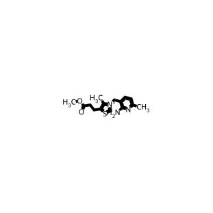 COC(=O)CCc1sc[n+](Cc2ccc(C)nc2N)c1C